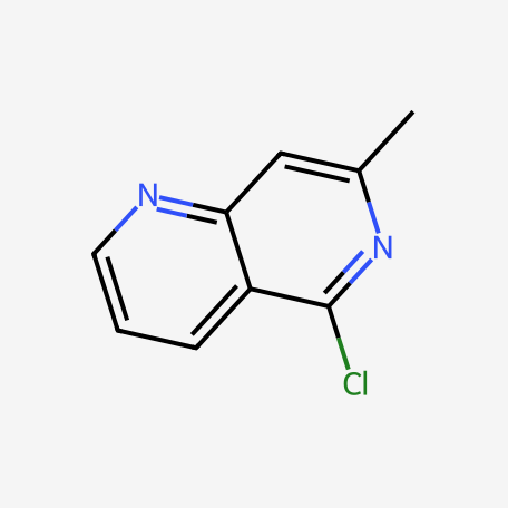 Cc1cc2ncccc2c(Cl)n1